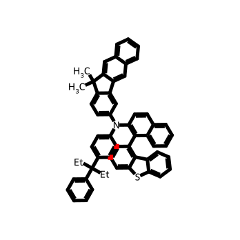 CCC(CC)(c1ccccc1)c1ccc(N(c2ccc3c(c2)-c2cc4ccccc4cc2C3(C)C)c2ccc3ccccc3c2-c2cccc3sc4ccccc4c23)cc1